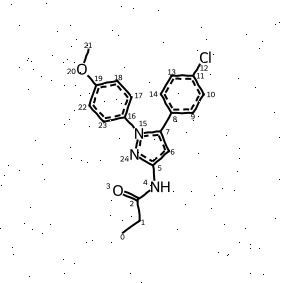 CCC(=O)Nc1cc(-c2ccc(Cl)cc2)n(-c2ccc(OC)cc2)n1